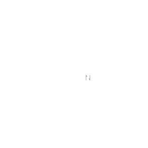 C1=CN2C=Cc3ccccc3C2=CC1